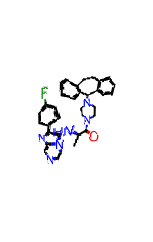 CC(Nc1c(-c2ccc(F)cc2)nc2cnccn12)C(=O)N1CCN(C2c3ccccc3CCc3ccccc32)CC1